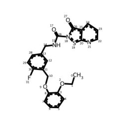 CCOc1ccccc1OCc1cc(CNC(=O)n2sc3ncccc3c2=O)ccc1F